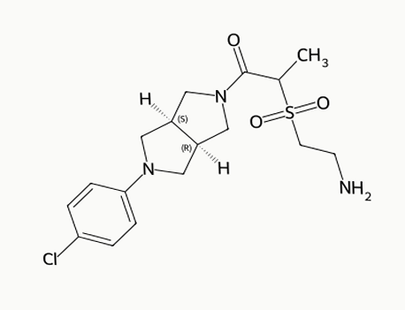 CC(C(=O)N1C[C@@H]2CN(c3ccc(Cl)cc3)C[C@@H]2C1)S(=O)(=O)CCN